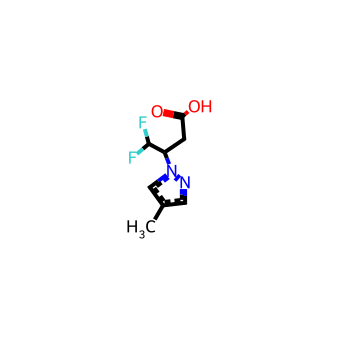 Cc1cnn(C(CC(=O)O)C(F)F)c1